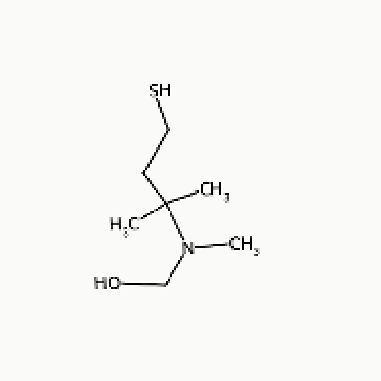 CN(CO)C(C)(C)CCS